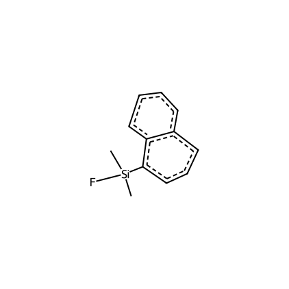 C[Si](C)(F)c1cccc2ccccc12